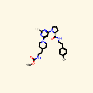 CC(C)(C)OC(=O)NCCC1CCN(c2cc(N3CCC[C@H]3C(=O)NCCc3ccc(C#N)cc3)nc(C(F)(F)F)n2)CC1